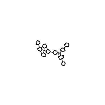 c1ccc(-c2ccc(N(c3ccc(-c4ccccc4)cc3)c3ccc(-c4ccc5c(c4)-c4ccccc4C54c5ccccc5-c5ccc(-c6ccccc6)cc54)cc3)cc2)cc1